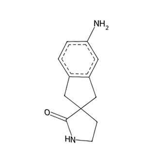 Nc1ccc2c(c1)CC1(CCNC1=O)C2